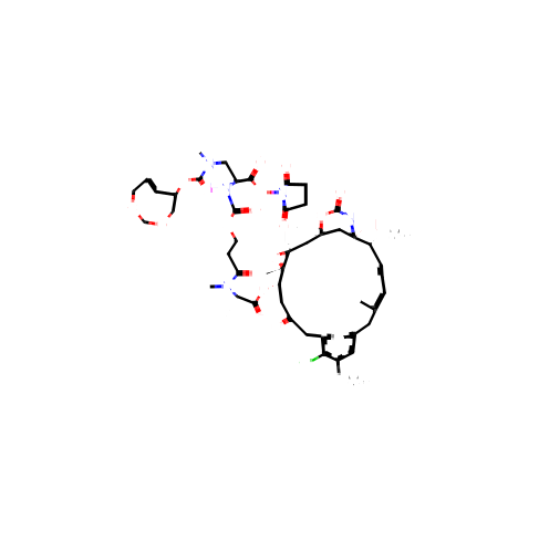 COc1cc2cc(c1Cl)CC(=O)C[C@H](OC(=O)[C@H](C)N(C)C(=O)CCOC(=O)NC(CN(C)C(=O)OC1/C=C/COCOC1)C(=O)ON1C(=O)CCC1=O)[C@]1(C)O[C@H]1[C@H](C)[C@@H]1C[C@@](O)(NC(=O)O1)[C@H](OC)/C=C/C=C(\C)C2